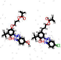 C=C(C)C(=O)OCCCOc1cc(-n2nc3ccc(OC)cc3n2)c(O)c(C(C)(C)C)c1.C=C(C)C(=O)OCCCc1cc(-n2nc3ccc(Cl)cc3n2)c(O)c(C(C)(C)C)c1